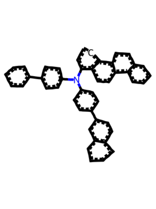 c1ccc(-c2ccc(N(c3ccc(-c4ccc5ccccc5c4)cc3)c3cccc4c3ccc3c5ccccc5ccc43)cc2)cc1